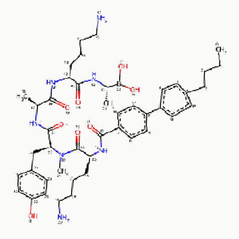 CCCCc1ccc(-c2ccc(C(=O)N[C@@H](CCCCN)C(=O)N(C)[C@@H](Cc3ccc(O)cc3)C(=O)N[C@@H](C)C(=O)N[C@@H](CCCCN)C(=O)N[C@@H](C)B(O)O)cc2)cc1